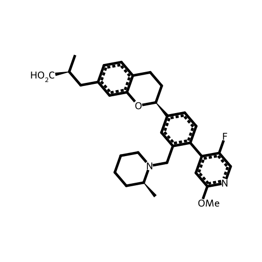 COc1cc(-c2ccc([C@@H]3CCc4ccc(C[C@H](C)C(=O)O)cc4O3)cc2CN2CCCC[C@@H]2C)c(F)cn1